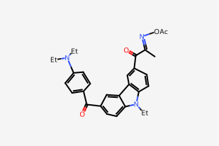 CCN(CC)c1ccc(C(=O)c2ccc3c(c2)c2cc(C(=O)/C(C)=N/OC(C)=O)ccc2n3CC)cc1